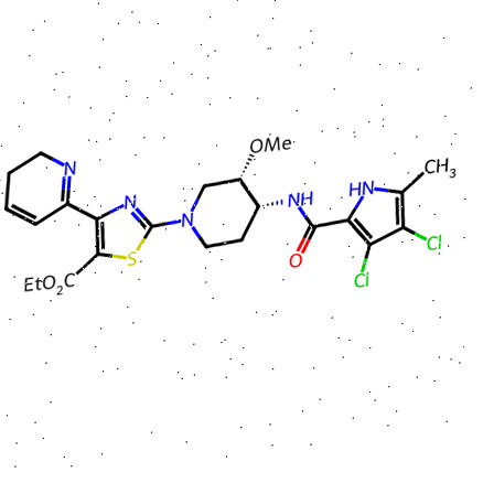 CCOC(=O)c1sc(N2CC[C@@H](NC(=O)c3[nH]c(C)c(Cl)c3Cl)[C@@H](OC)C2)nc1C1=NCCC=C1